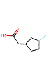 O=C(O)C[C@H]1CC[C@@H](F)C1